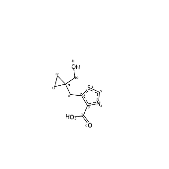 O=C(O)c1ncsc1CC1(CO)CC1